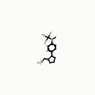 CN(c1ccc(C2CCCC2CN)cc1)C(F)(F)F